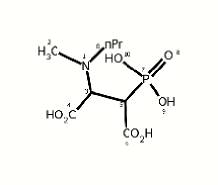 CCCN(C)C(C(=O)O)C(C(=O)O)P(=O)(O)O